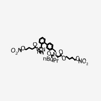 CCCCC(=O)N(Cc1ccc(-c2ccccc2-c2nnnn2C(=O)CCCO[N+](=O)[O-])cc1)[C@@H](C(=O)OCCCCO[N+](=O)[O-])C(C)C